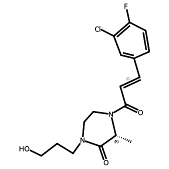 C[C@@H]1C(=O)N(CCCO)CCN1C(=O)/C=C/c1ccc(F)c(Cl)c1